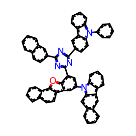 c1ccc(-n2c3ccccc3c3cc(-c4nc(-c5ccc6ccccc6c5)nc(-c5cc(-n6c7ccccc7c7cc8ccccc8cc76)cc6c5oc5c7ccccc7ccc65)n4)ccc32)cc1